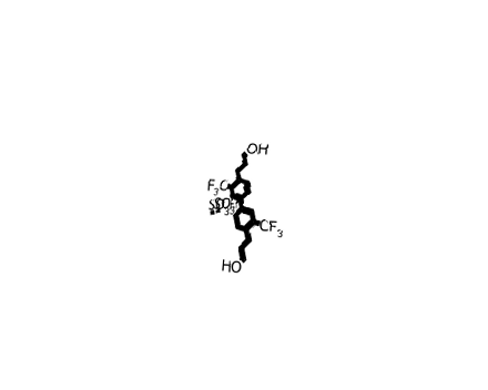 CS(=O)(=O)O.CS(=O)(=O)O.OCCCc1ccc(-c2ccc(CCCO)c(C(F)(F)F)c2)cc1C(F)(F)F